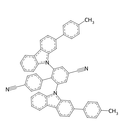 Cc1ccc(-c2ccc3c4ccccc4n(-c4cc(C#N)cc(-n5c6ccccc6c6ccc(-c7ccc(C)cc7)cc65)c4-c4ccc(C#N)cc4)c3c2)cc1